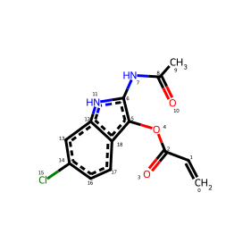 C=CC(=O)Oc1c(NC(C)=O)[nH]c2cc(Cl)ccc12